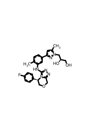 Cc1ccc(-c2cc(C)n(C[C@H](O)CO)n2)cc1Nc1nnc2n1[C@H](c1ccc(F)cc1)COC2